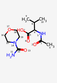 CC(=O)NC(C(=O)O)C(C)C.NC(=O)N1CCOCC1